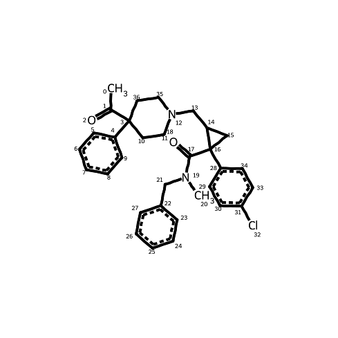 CC(=O)C1(c2ccccc2)CCN(CC2CC2(C(=O)N(C)Cc2ccccc2)c2ccc(Cl)cc2)CC1